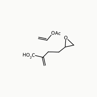 C=C(CCC1CO1)C(=O)O.C=COC(C)=O